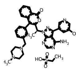 CCS(=O)(=O)O.C[C@@H](c1oc(=O)c2ccccc2c1-c1cccc(CN2CCN(C)CC2)c1)n1nc(-c2cncc(O)c2)c2c(N)ncnc21